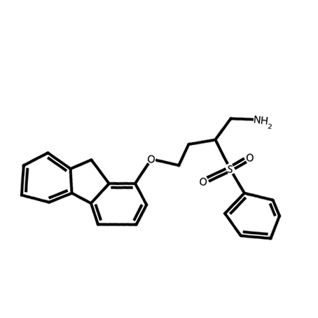 NCC(CCOc1cccc2c1Cc1ccccc1-2)S(=O)(=O)c1ccccc1